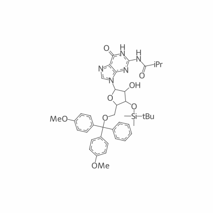 COc1ccc(C(OCC2OC(n3cnc4c(=O)[nH]c(NC(=O)C(C)C)nc43)C(O)C2O[Si](C)(C)C(C)(C)C)(c2ccccc2)c2ccc(OC)cc2)cc1